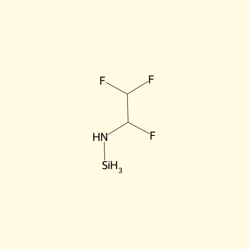 FC(F)C(F)N[SiH3]